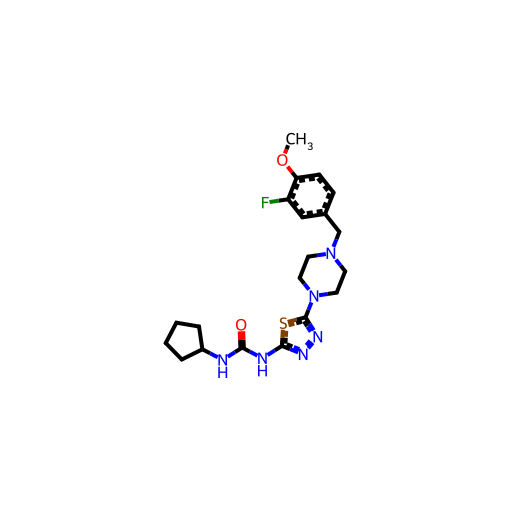 COc1ccc(CN2CCN(c3nnc(NC(=O)NC4CCCC4)s3)CC2)cc1F